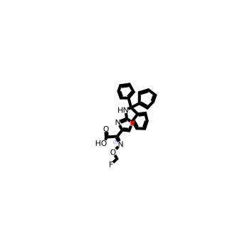 O=C(O)/C(=N\OCF)c1csc(NC(c2ccccc2)(c2ccccc2)c2ccccc2)n1